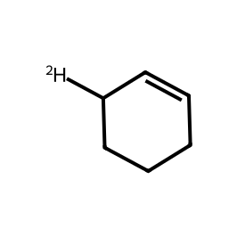 [2H]C1C=CCCC1